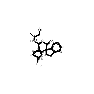 C[C@H](CO)NC1=NC(=O)C2(CCc3ccccc32)c2nc(C(F)(F)F)ccc21